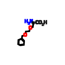 N[C@@H](COCCOCc1ccccc1)C(=O)O